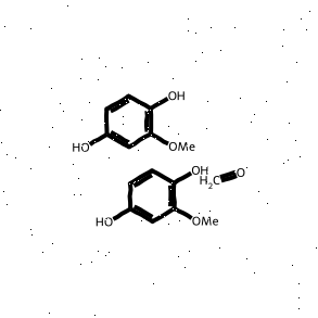 C=O.COc1cc(O)ccc1O.COc1cc(O)ccc1O